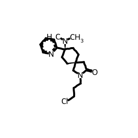 CN(C)[C@]1(c2ccccn2)CC[C@@]2(CC1)CC(=O)N(CCCCl)C2